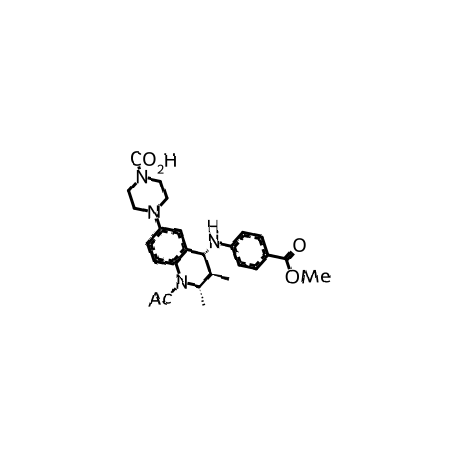 COC(=O)c1ccc(N[C@H]2c3cc(N4CCN(C(=O)O)CC4)ccc3N(C(C)=O)[C@@H](C)[C@@H]2C)cc1